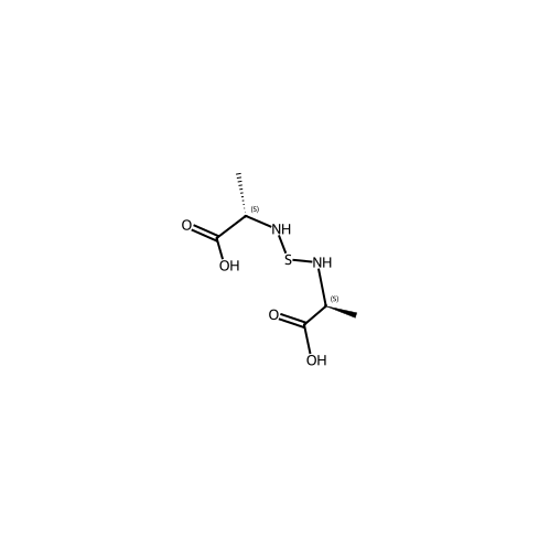 C[C@H](NSN[C@@H](C)C(=O)O)C(=O)O